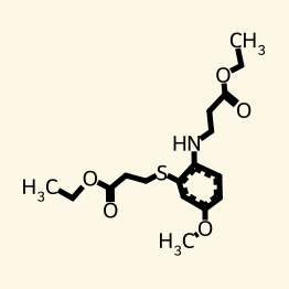 CCOC(=O)CCNc1ccc(OC)cc1SCCC(=O)OCC